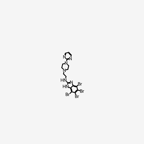 Brc1c(Br)c(Br)c2[nH]c(NCCN3CCN(c4ncccn4)CC3)nc2c1Br